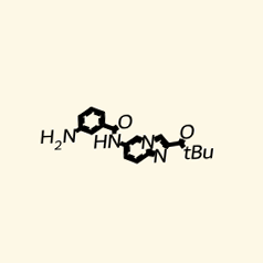 CC(C)(C)C(=O)c1cn2cc(NC(=O)c3cccc(N)c3)ccc2n1